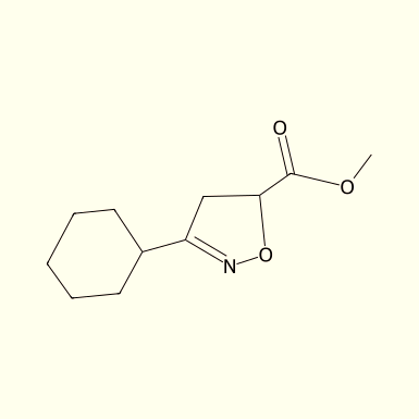 COC(=O)C1CC(C2CCCCC2)=NO1